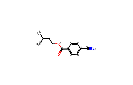 CC(C)CCOC(=O)c1ccc(C#N)cc1